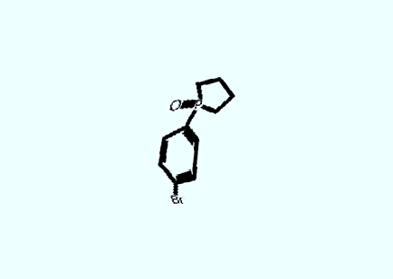 O=P1(c2ccc(Br)cc2)CCCC1